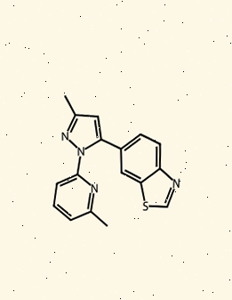 Cc1cccc(-n2nc(C)cc2-c2ccc3ncsc3c2)n1